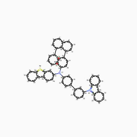 c1ccc(-c2cccc3cccc(-c4ccc(N(c5ccc(-c6cccc(-n7c8ccccc8c8ccccc87)c6)cc5)c5ccc6c(c5)sc5ccccc56)cc4)c23)cc1